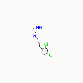 Clc1ccc(CCCCNC2CCNC2)c(Cl)c1